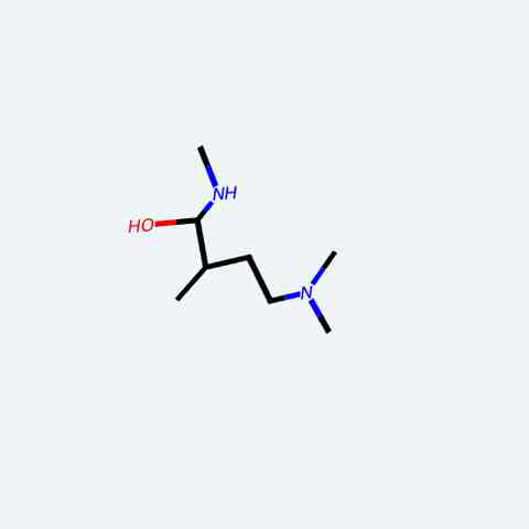 CNC(O)C(C)CCN(C)C